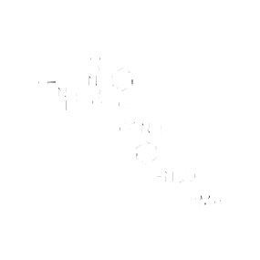 COCC(=O)NCc1cccc(NC(=O)COc2cccc3c2C(=O)N(C2CCC(=O)NC2=O)C3=O)c1